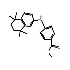 COC(=O)c1ccc(Nc2ccc3c(c2)C(C)(C)CCC3(C)C)cc1